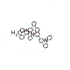 CC1(C)c2ccccc2-c2c(-c3ccccc3N(c3cccc(-c4ccc5c6ccccc6n(-c6ccccc6)c5c4)c3)c3ccccc3-c3ccccc3-c3ccccc3)cccc21